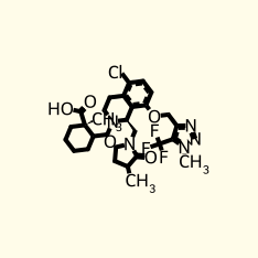 CC1CCN(C[C@@H]2c3c(OCc4nnn(C)c4C(F)(F)F)ccc(Cl)c3CCN2C(=O)C2CCCC[C@@]2(C)C(=O)O)C1=O